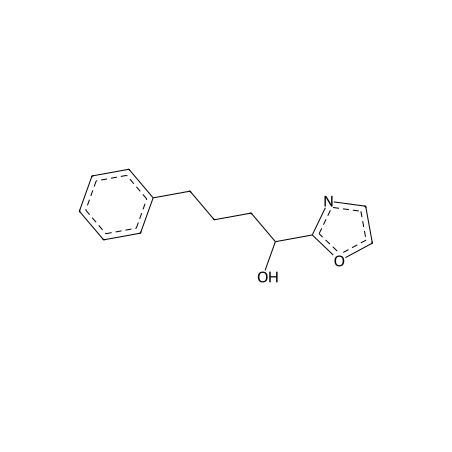 OC(CCCc1ccccc1)c1ncco1